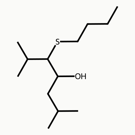 CCCCSC(C(C)C)C(O)CC(C)C